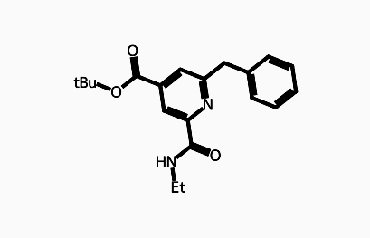 CCNC(=O)c1cc(C(=O)OC(C)(C)C)cc(Cc2ccccc2)n1